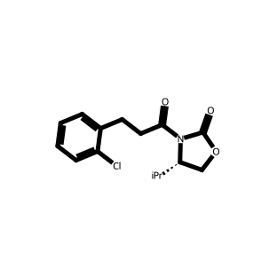 CC(C)[C@H]1COC(=O)N1C(=O)CCc1ccccc1Cl